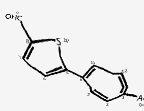 CC(=O)c1ccc(-c2ccc(C=O)s2)cc1